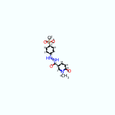 Cn1cc(C(=O)NNc2ccc(S(=O)(=O)C(F)(F)F)cc2)ccc1=O